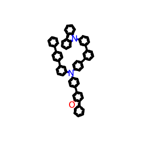 c1ccc(-c2ccc(-c3cccc(N(c4ccc(-c5cccc(-c6cccc(-n7c8ccccc8c8ccccc87)c6)c5)cc4)c4ccc(-c5ccc6c(c5)oc5ccccc56)cc4)c3)cc2)cc1